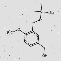 CC(C)(C)[Si](C)(C)OCc1cc(CO)ccc1OC(F)(F)F